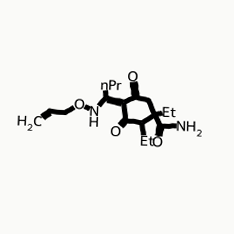 C=CCONC(CCC)=C1C(=O)CC(CC)(C(N)=O)C(CC)C1=O